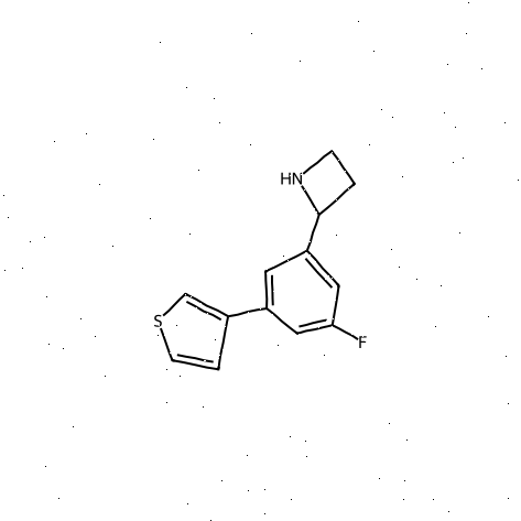 Fc1cc(-c2ccsc2)cc(C2CCN2)c1